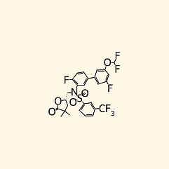 CC1(C)C[C@@H](CN(c2cc(-c3cc(F)cc(OC(F)F)c3)ccc2F)S(=O)(=O)c2cccc(C(F)(F)F)c2)OC1=O